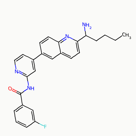 CCCCC(N)c1ccc2cc(-c3ccnc(NC(=O)c4cccc(F)c4)c3)ccc2n1